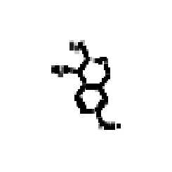 COc1ccc2c(c1)CO[C@H](C)C2N